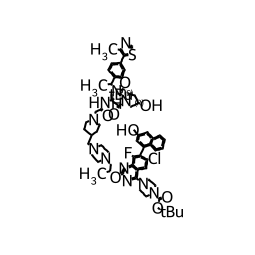 Cc1ncsc1-c1ccc(C(C)NC(=O)[C@@H]2C[C@@H](O)CN2C(=O)C(NC(=O)CN2CCC(CN3CCN(CC(C)Oc4nc(N5CCN(C(=O)OC(C)(C)C)CC5)c5cc(Cl)c(-c6cc(O)cc7ccccc67)c(F)c5n4)CC3)CC2)C(C)(C)C)cc1